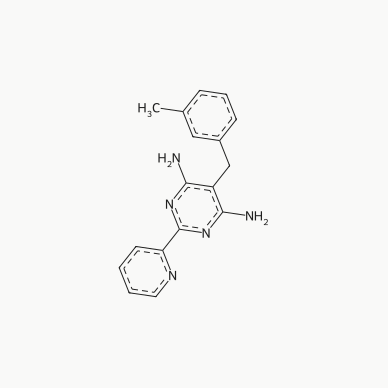 Cc1cccc(Cc2c(N)nc(-c3ccccn3)nc2N)c1